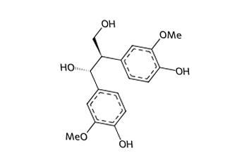 COc1cc([C@H](O)[C@@H](CO)c2ccc(O)c(OC)c2)ccc1O